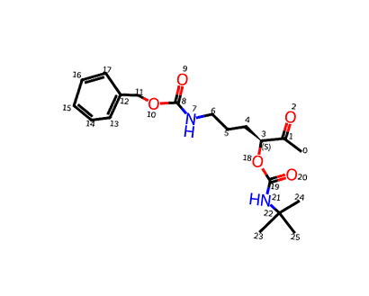 CC(=O)[C@H](CCCNC(=O)OCc1ccccc1)OC(=O)NC(C)(C)C